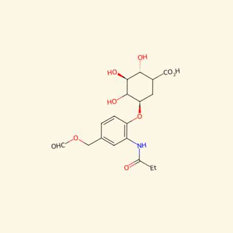 CCC(=O)Nc1cc(COC=O)ccc1O[C@@H]1CC(C(=O)O)[C@@H](O)[C@H](O)C1O